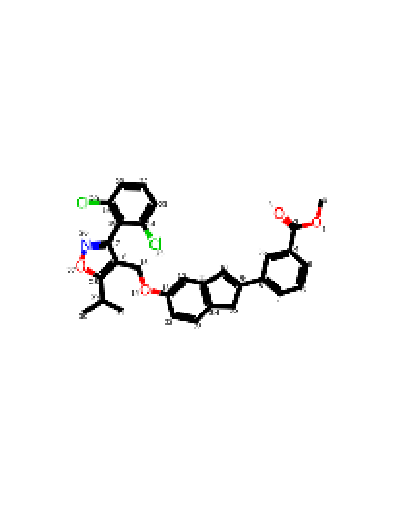 COC(=O)c1cccc(C2=Cc3cc(OCc4c(-c5c(Cl)cccc5Cl)noc4C(C)C)ccc3C2)c1